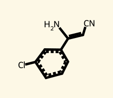 N#CC=C(N)c1cccc(Cl)c1